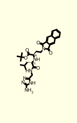 CC(C)C[C@H](N[C@H](CCN1C(=O)c2cc3ccccc3cc2C1=O)C(=O)OC(C)(C)C)C(=O)NCc1nnc(N)[nH]1